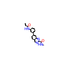 C=CC(=O)Nc1cccc(-c2ccc3cnc(C(=O)NC)nc3c2)c1